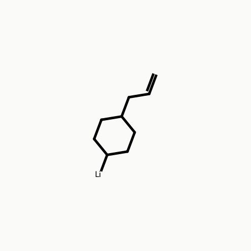 [Li][CH]1CCC(CC=C)CC1